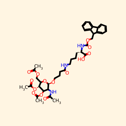 CC(=O)NC1C(OC(C)=O)[C@H](OC(C)=O)C(COC(C)=O)O[C@H]1OCCCC(=O)NCCCC[C@H](NC(=O)OCC1c2ccccc2-c2ccccc21)C(=O)O